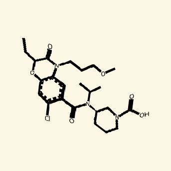 CCC1Oc2cc(Cl)c(C(=O)N(C(C)C)[C@@H]3CCCN(C(=O)O)C3)cc2N(CCCOC)C1=O